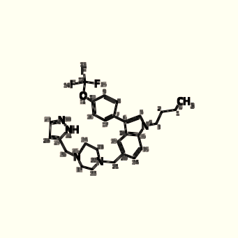 CCCCn1cc(-c2ccc(OC(F)(F)F)cc2)c2cc(CN3CCN(Cc4ccn[nH]4)CC3)ccc21